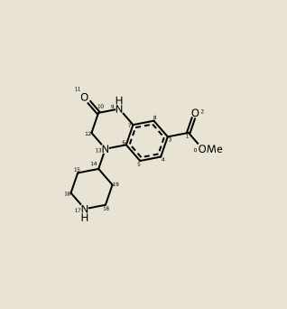 COC(=O)c1ccc2c(c1)NC(=O)CN2C1CCNCC1